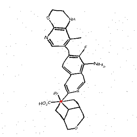 Cc1c(-c2cc3cc(N(C(=O)O)C4C5COCC4CN(C(C)C)C5)ncc3c(N)c2F)cnc2c1NCCO2